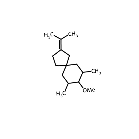 COC1C(C)CC2(CCC(=C(C)C)C2)CC1C